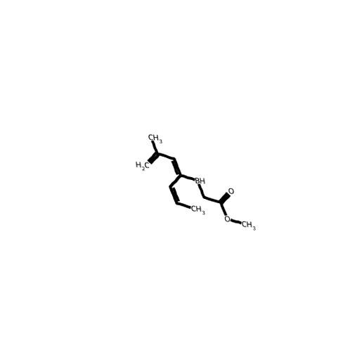 C=C(C)/C=C(BCC(=O)OC)\C=C/C